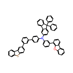 c1ccc(C2(c3ccccc3)c3ccccc3-c3cc(N(c4ccc(-c5cccc(-c6ccc7sc8ccccc8c7c6)c5)cc4)c4cccc(-c5cccc6c5oc5ccccc56)c4)ccc32)cc1